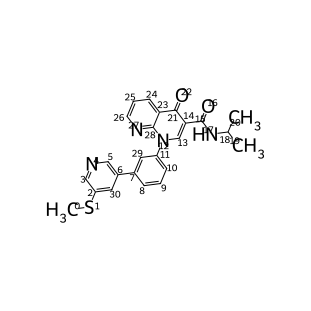 CSc1cncc(-c2cccc(-n3cc(C(=O)NC(C)C)c(=O)c4cccnc43)c2)c1